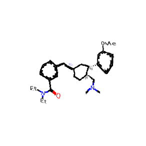 CCN(CC)C(=O)c1cccc(/C=C2\CC[C@H](CN(C)C)[C@@H](c3cccc(OC)c3)C2)c1